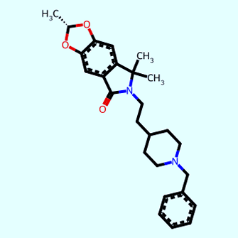 C[C@H]1Oc2cc3c(cc2O1)C(C)(C)N(CCC1CCN(Cc2ccccc2)CC1)C3=O